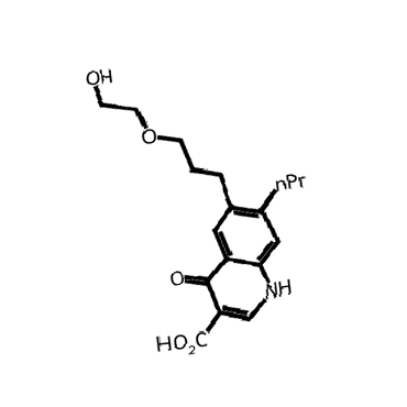 CCCc1cc2[nH]cc(C(=O)O)c(=O)c2cc1CCCOCCO